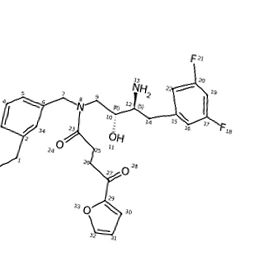 CCc1cccc(CN(C[C@@H](O)[C@@H](N)Cc2cc(F)cc(F)c2)C(=O)CCC(=O)c2ccco2)c1